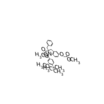 COC(=O)COc1ccc2c(c1)CC(Cc1ccccc1)(C(=O)OC)N2C(=O)c1ccc(C(C)(C)C)c(OC)c1